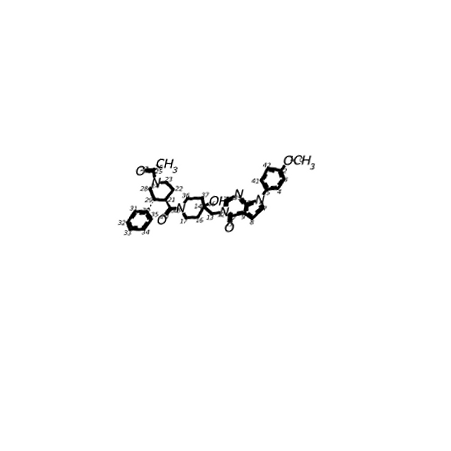 COc1ccc(-n2ccc3c(=O)n(CC4(O)CCN(C(=O)[C@@H]5CCN(C(C)=O)C[C@H]5c5ccccc5)CC4)cnc32)cc1